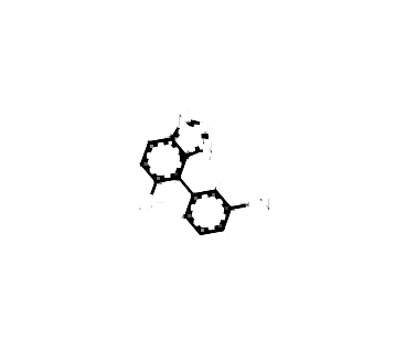 N#Cc1cccc(-c2c(S)ccc3nsnc23)c1